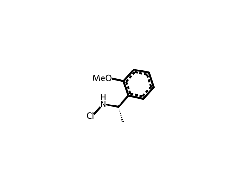 COc1ccccc1[C@H](C)NCl